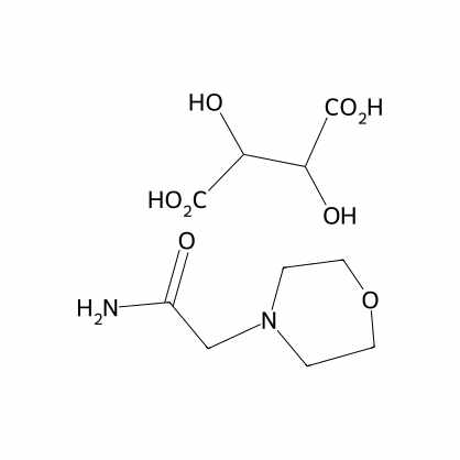 NC(=O)CN1CCOCC1.O=C(O)C(O)C(O)C(=O)O